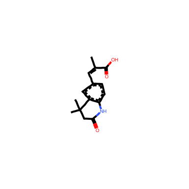 CC(=Cc1ccc2c(c1)C(C)(C)CC(=O)N2)C(=O)O